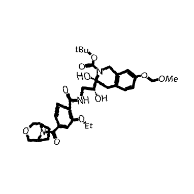 CCOc1cc(C(=O)N2C3CCC2COC3)ccc1C(=O)NC[C@@H](O)[C@@]1(O)Cc2ccc(OCOC)cc2CN1C(=O)OC(C)(C)C